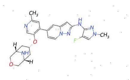 Cc1cc(-c2ccn3nc(Nc4nn(C)cc4F)cc3c2)c(O[C@H]2C[C@H]3COC[C@@H](C2)N3)cn1